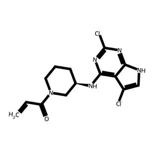 C=CC(=O)N1CCC[C@@H](Nc2nc(Cl)nc3[nH]cc(Cl)c23)C1